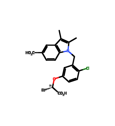 CC[C@H](Oc1ccc(Cl)c(Cn2c(C)c(C)c3cc(C(=O)O)ccc32)c1)C(=O)O